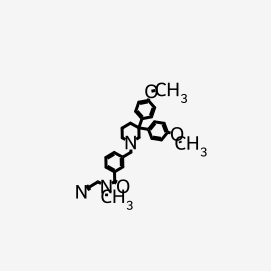 COc1ccc(C2(c3ccc(OC)cc3)CCCN(Cc3cccc(C(=O)N(C)CC#N)c3)C2)cc1